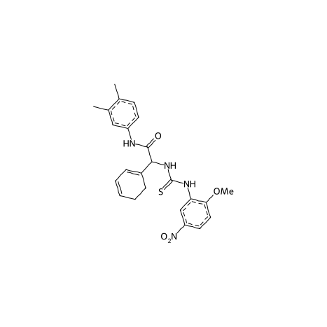 COc1ccc([N+](=O)[O-])cc1NC(=S)NC(C(=O)Nc1ccc(C)c(C)c1)C1=CC=CCC1